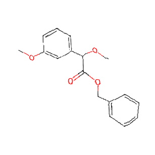 COc1cccc(C(OC)C(=O)OCc2ccccc2)c1